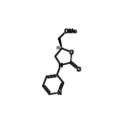 COC[C@@H]1CN(c2cccnc2)C(=O)O1